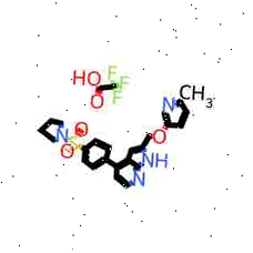 Cc1ccc(OCc2cc3c(-c4ccc(S(=O)(=O)N5CCCC5)cc4)ccnc3[nH]2)cn1.O=C(O)C(F)(F)F